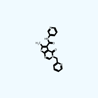 Cc1sc2ncn(Cc3ccccn3)c(=O)c2c1C(=O)Nc1cccnc1